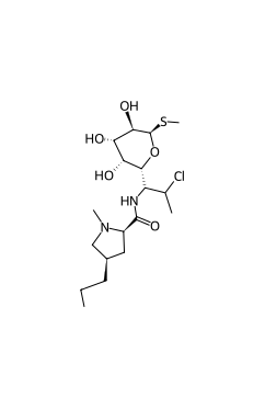 CCC[C@@H]1C[C@H](C(=O)NC(C(C)Cl)[C@H]2O[C@H](SC)[C@H](O)[C@@H](O)[C@H]2O)N(C)C1